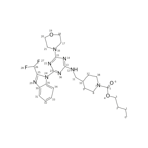 CCCCOC(=O)N1CCC(CNc2nc(N3CCOCC3)nc(-n3c(C(F)F)nc4ccccc43)n2)CC1